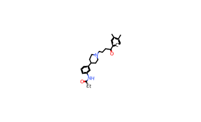 CCC(=O)Nc1cccc(C2CCN(CCCC(=O)c3ccc(C)c(C)c3)CC2)c1